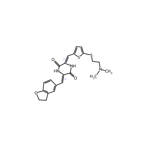 CN(C)CCSc1ccc(/C=c2\[nH]c(=O)/c(=C/c3ccc4c(c3)CCO4)[nH]c2=O)s1